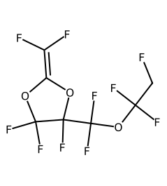 FCC(F)(F)OC(F)(F)C1(F)OC(=C(F)F)OC1(F)F